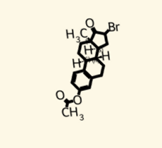 CC(=O)Oc1ccc2c(c1)CC[C@@H]1[C@@H]2CC[C@]2(C)C(=O)C(Br)C[C@@H]12